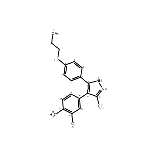 CC(=O)OCCSc1ccc(-c2[nH]nc(C(F)(F)F)c2-c2ccc(C)c(Cl)c2)cc1